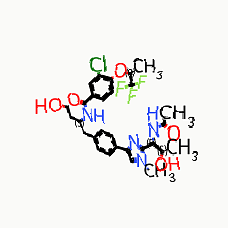 CC(=O)N[C@H](c1nc(-c2ccc(C[C@@H](CCO)NC(=O)c3ccc(O[C@H](C)C(F)(F)F)c(Cl)c3)cc2)cn1C)[C@H](C)O